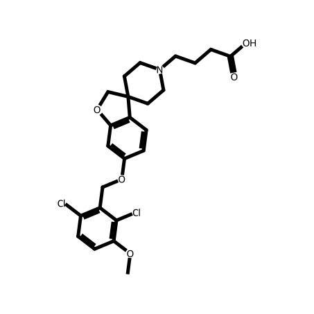 COc1ccc(Cl)c(COc2ccc3c(c2)OCC32CCN(CCCC(=O)O)CC2)c1Cl